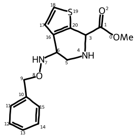 COC(=O)C1NCC(NOCc2ccccc2)c2ccsc21